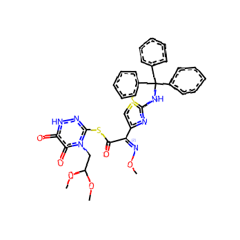 CO/N=C(\C(=O)Sc1n[nH]c(=O)c(=O)n1CC(OC)OC)c1csc(NC(c2ccccc2)(c2ccccc2)c2ccccc2)n1